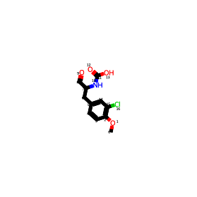 COc1ccc(CC(C=O)NC(=O)O)cc1Cl